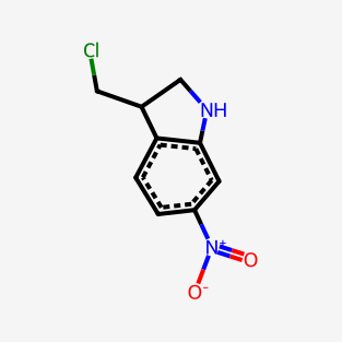 O=[N+]([O-])c1ccc2c(c1)NCC2CCl